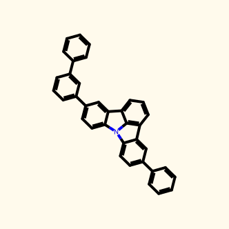 c1ccc(-c2cccc(-c3ccc4c(c3)c3cccc5c6cc(-c7ccccc7)ccc6n4c53)c2)cc1